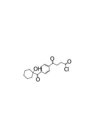 O=C(Cl)CCC(=O)c1ccc(C(=O)C2(O)CCCCC2)cc1